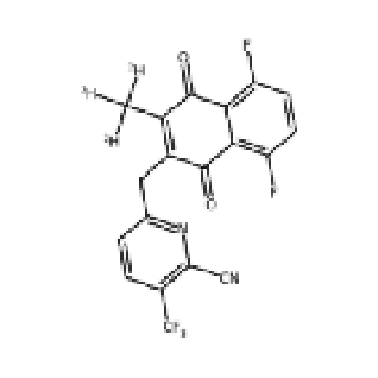 [2H]C([2H])([2H])C1=C(Cc2ccc(C(F)(F)F)c(C#N)n2)C(=O)c2c(F)ccc(F)c2C1=O